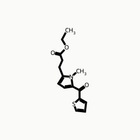 CCOC(=O)CCc1ccc(C(=O)c2cccs2)n1C